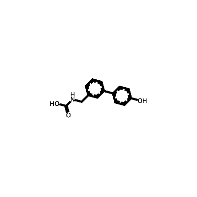 O=C(O)NCc1cccc(-c2ccc(O)cc2)c1